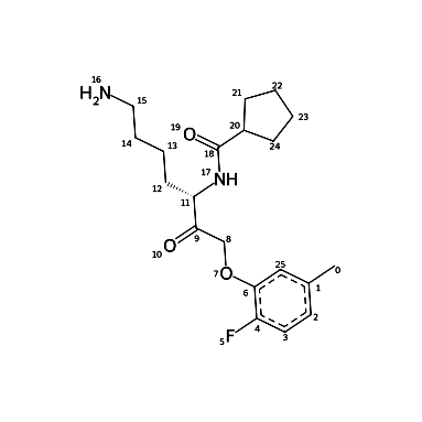 Cc1ccc(F)c(OCC(=O)[C@H](CCCCN)NC(=O)C2CCCC2)c1